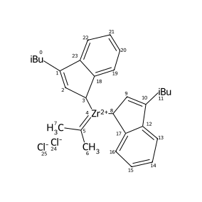 CCC(C)C1=C[CH]([Zr+2](=[C](C)C)[CH]2C=C(C(C)CC)c3ccccc32)c2ccccc21.[Cl-].[Cl-]